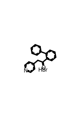 Br.O=C(Cc1ccncc1)c1ccccc1-c1ccccc1